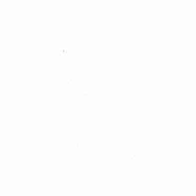 CC(C)(C)OC(=O)NCCN1CCN(CCCc2c[nH]c3ccc(-n4cnnc4)cc23)CC1